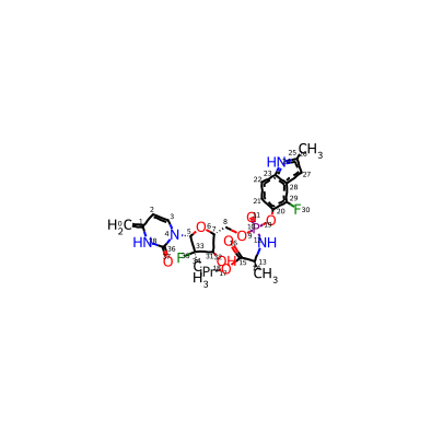 C=C1C=CN([C@@H]2O[C@H](COP(=O)(N[C@@H](C)C(=O)OC(C)C)Oc3ccc4[nH]c(C)cc4c3F)[C@@H](O)[C@@]2(C)F)C(=O)N1